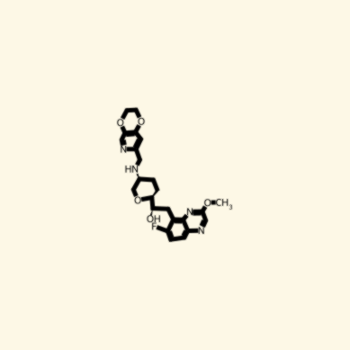 COc1cnc2ccc(F)c(C[C@H](O)[C@@H]3CC[C@@H](NCc4cc5c(cn4)OCCO5)CO3)c2n1